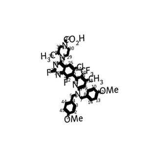 COc1ccc(CN(Cc2ccc(OC)cc2)c2cc(C)c(C(F)(F)F)c(-c3c(Cl)cc4c(N5CCN(C(=O)O)C[C@@H]5C)nc(F)nc4c3F)n2)cc1